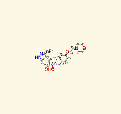 CCCc1n[nH]c2cc(O)c(C(=O)N3Cc4ccc(OCCN5CCOCC5)cc4C3)cc12